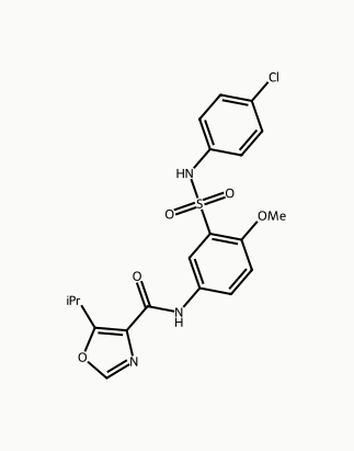 COc1ccc(NC(=O)c2ncoc2C(C)C)cc1S(=O)(=O)Nc1ccc(Cl)cc1